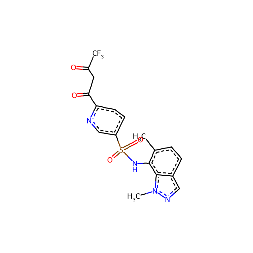 Cc1ccc2cnn(C)c2c1NS(=O)(=O)c1ccc(C(=O)CC(=O)C(F)(F)F)nc1